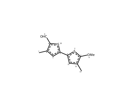 COc1sc(-c2cc(C)c(C=O)s2)cc1C